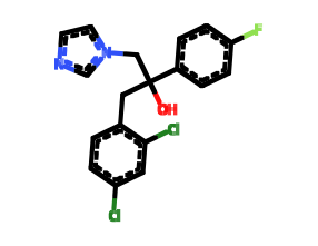 OC(Cc1ccc(Cl)cc1Cl)(Cn1ccnc1)c1ccc(F)cc1